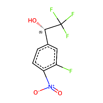 O=[N+]([O-])c1ccc([C@H](O)C(F)(F)F)cc1F